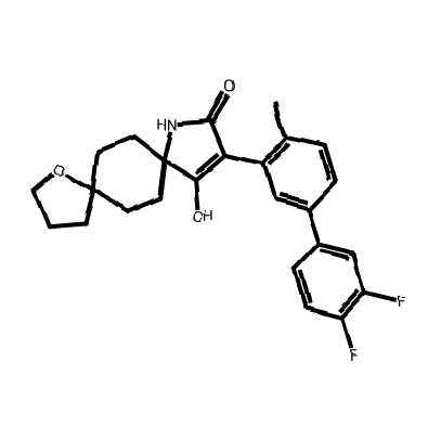 Cc1ccc(-c2ccc(F)c(F)c2)cc1C1=C(O)C2(CCC3(CCCO3)CC2)NC1=O